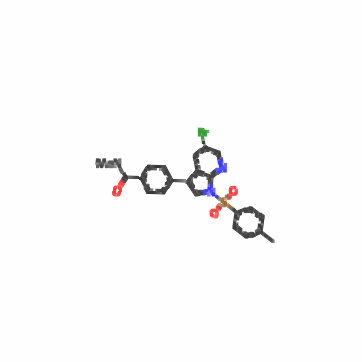 CNC(=O)c1ccc(-c2cn(S(=O)(=O)c3ccc(C)cc3)c3ncc(Br)cc23)cc1